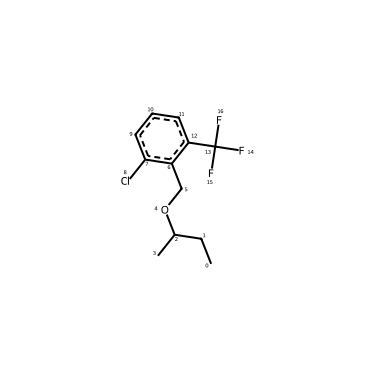 CCC(C)OCc1c(Cl)cccc1C(F)(F)F